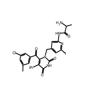 Cc1cc(Cl)cc(C(=O)c2c(C(C)C)c(=O)[nH]c(=O)n2Cc2cc(I)nc(NC(=O)C(C)N)c2)c1